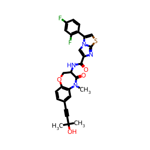 CN1C(=O)C(NC(=O)c2cn3c(-c4ccc(F)cc4F)csc3n2)COc2ccc(C#CC(C)(C)O)cc21